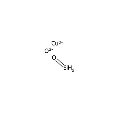 O=[SiH2].[Cu+2].[O-2]